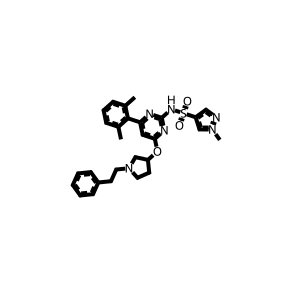 Cc1cccc(C)c1-c1cc(OC2CCN(CCc3ccccc3)C2)nc(NS(=O)(=O)c2cnn(C)c2)n1